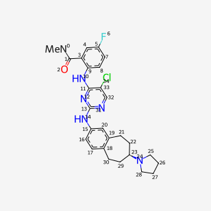 CNC(=O)c1cc(F)ccc1Nc1nc(Nc2ccc3c(c2)CC[C@@H](N2CCCC2)CC3)ncc1Cl